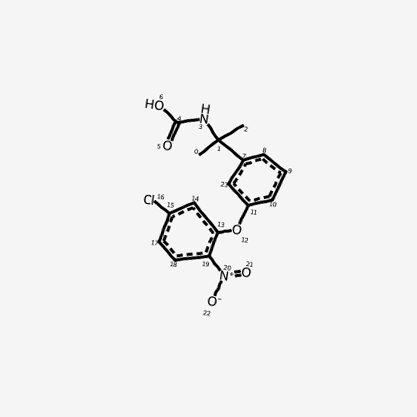 CC(C)(NC(=O)O)c1cccc(Oc2cc(Cl)ccc2[N+](=O)[O-])c1